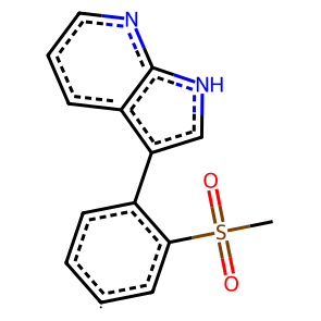 CS(=O)(=O)c1c[c]ccc1-c1c[nH]c2ncccc12